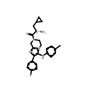 Cc1ccc(Nc2c(-c3ccc(F)cc3)nc3n2CCN(C(=O)[C@@H](N)CC2CC2)C3)cc1